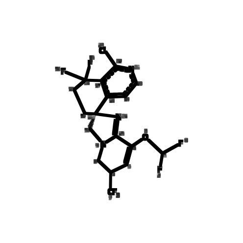 FC(F)OC1=CC(C(F)(F)F)CN2C[C@@]3(CCC(F)(F)c4c3ccnc4Cl)N=C12